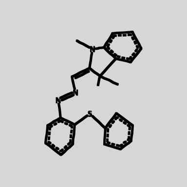 CN1/C(=C/N=N/c2ccccc2Sc2ccccc2)C(C)(C)c2ccccc21